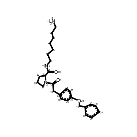 NCCCCCCCNC(=O)C1CCCN1C(=O)Cc1ccc(OCc2ccccc2)cc1